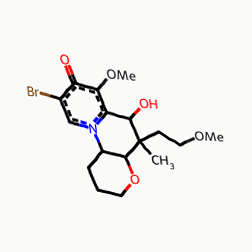 COCCC1(C)C(O)c2c(OC)c(=O)c(Br)cn2C2CCCOC21